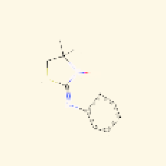 CC1(C=O)CSC(=Nc2ccccc2)N1O